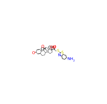 CC12C=CC(=O)C=C1CCC1C2C(=O)CC2(C)C1CC[C@]2(O)C(=O)CSc1nc2ccc(N)cc2s1